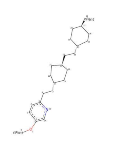 CCCCCOc1ccc(CC[C@H]2CC[C@H](CC[C@H]3CC[C@H](CCCCC)CC3)CC2)nc1